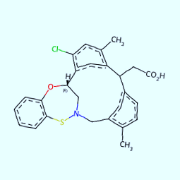 Cc1ccc2cc1CN1C[C@H](Oc3ccccc3S1)c1cc(c(C)cc1Cl)C2CC(=O)O